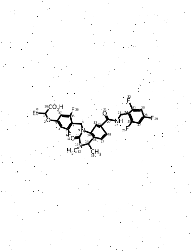 CCC(Oc1cc(F)c(CN2C(=O)N(C)C(C)c3ccc(C(=O)NCc4c(F)cc(F)cc4F)cc32)c(F)c1)C(=O)O